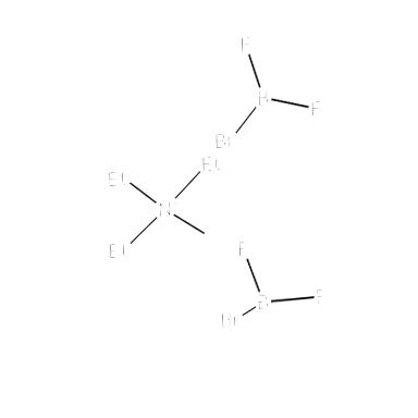 CC[N+](C)(CC)CC.FB(F)Br.FB(F)Br